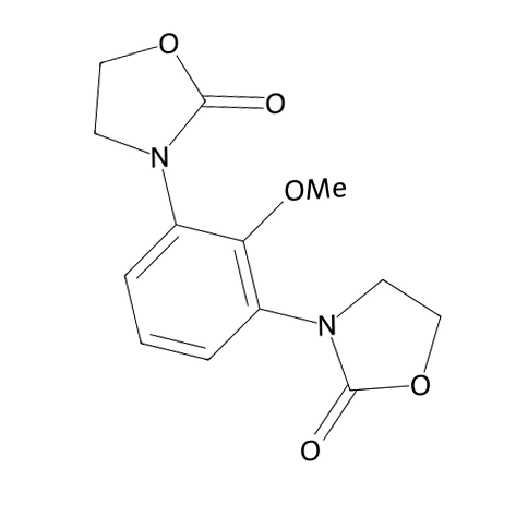 COc1c(N2CCOC2=O)cccc1N1CCOC1=O